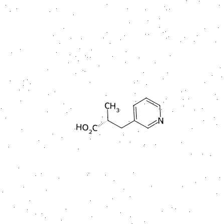 C[C@H](Cc1cccnc1)C(=O)O